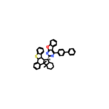 CC12CCCCC1[C@@H](c1nc(-c3ccc(-c4ccccc4)cc3)c3c(n1)oc1ccccc13)C1C3c4ccccc4SC3c3ccccc3C12C